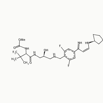 COC(=O)NC(C(=O)NC[C@@H](O)CNCc1c(F)cc(C(=N)/C=C\N[C@H]2CCOC2)cc1F)C(C)(C)C(F)(F)F